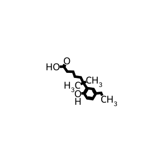 CCc1ccc(O)c(C(C)(C)CCCCC(=O)O)c1